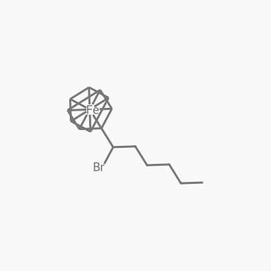 CCCCCC(Br)[C]12[CH]3[CH]4[CH]5[CH]1[Fe]45321678[CH]2[CH]1[CH]6[CH]7[CH]28